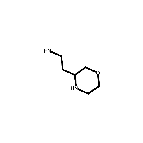 [NH]CCC1COCCN1